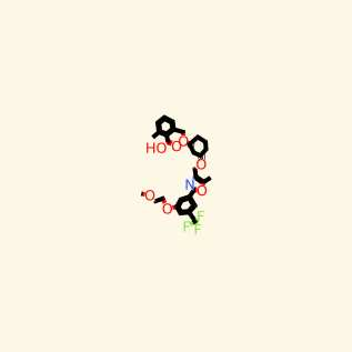 COCCOc1cc(-c2nc(CO[C@H]3CCC[C@@H](OCc4cccc(C)c4C(=O)O)C3)c(C)o2)cc(C(F)(F)F)c1